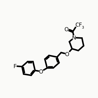 O=C(N1CCCC(OCc2ccc(Oc3ccc(F)cc3)cc2)C1)C(F)(F)F